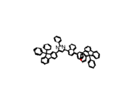 c1ccc(-c2nc(-c3ccc4c(c3)C(c3ccccc3)(c3ccccc3)c3ccccc3-4)cc(-c3ccc(-c4cccc(-c5cccc6c5C(c5ccccc5)(c5ccccc5)c5ccccc5-6)c4)c4ccccc34)n2)cc1